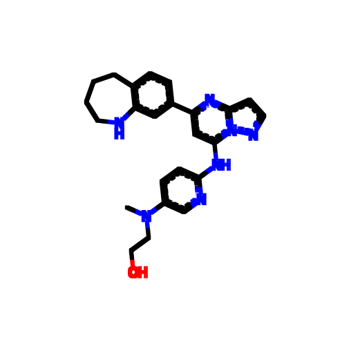 CN(CCO)c1ccc(Nc2cc(-c3ccc4c(c3)NCCCC4)nc3ccnn23)nc1